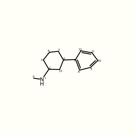 CNC1CCCC(c2ccccc2)C1